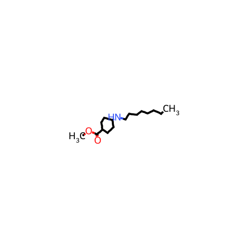 CCCCCCCCNC1CCC(C(=O)OC)CC1